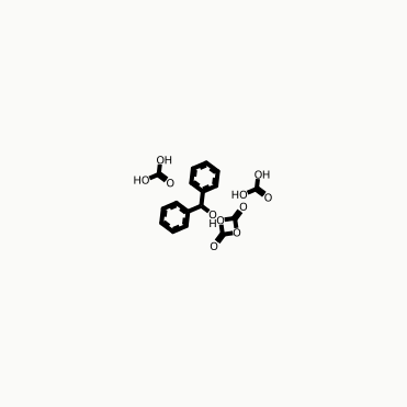 O=C(O)O.O=C(O)O.O=C1OC(=O)O1.OC(c1ccccc1)c1ccccc1